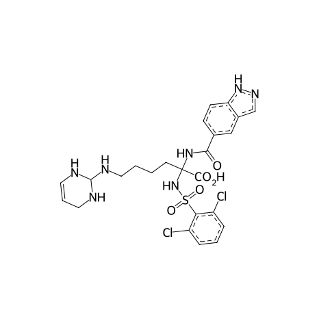 O=C(NC(CCCCNC1NC=CCN1)(NS(=O)(=O)c1c(Cl)cccc1Cl)C(=O)O)c1ccc2[nH]ncc2c1